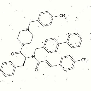 Cc1ccc(CN2CCN(C(=O)[C@H](Cc3ccccc3)N(Cc3ccc(-c4ccccn4)cc3)C(=O)C=Cc3ccc(C(F)(F)F)cc3)CC2)cc1